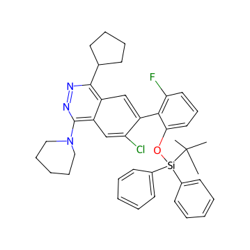 CC(C)(C)[Si](Oc1cccc(F)c1-c1cc2c(C3CCCC3)nnc(N3CCCCC3)c2cc1Cl)(c1ccccc1)c1ccccc1